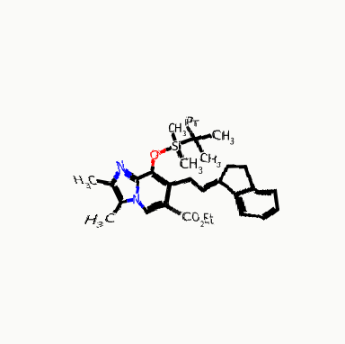 CCOC(=O)c1cn2c(C)c(C)nc2c(O[Si](C)(C)C(C)(C)C(C)C)c1C/C=C1\CCc2ccccc21